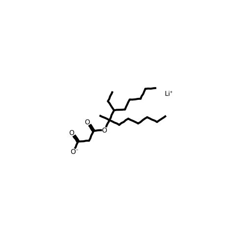 CCCCCCC(C)(OC(=O)CC(=O)[O-])C(CC)CCCCC.[Li+]